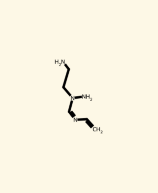 C=C/N=C\N(N)CCN